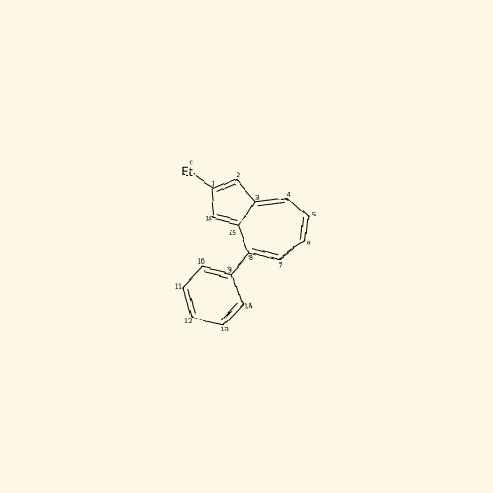 CCc1cc2ccccc(-c3ccccc3)c-2c1